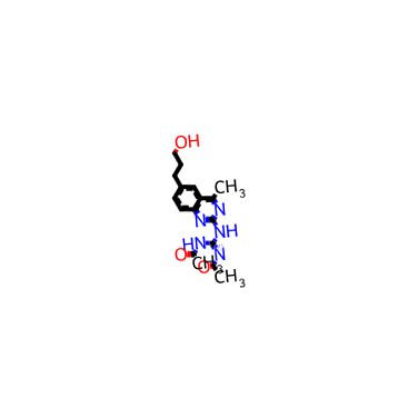 CC(=O)/N=C(\NC(C)=O)Nc1nc(C)c2cc(CCCO)ccc2n1